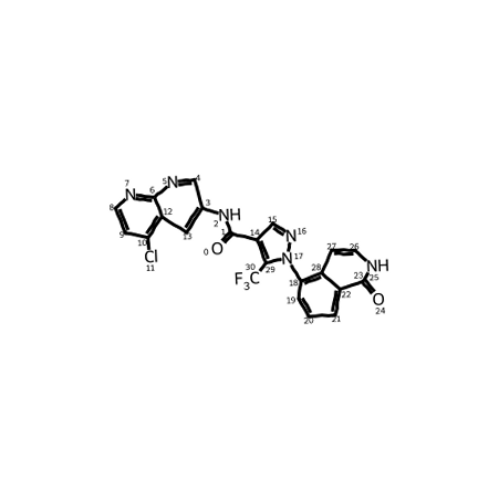 O=C(Nc1cnc2nccc(Cl)c2c1)c1cnn(-c2cccc3c(=O)[nH]ccc23)c1C(F)(F)F